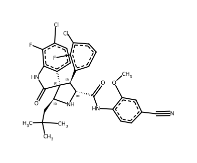 COc1cc(C#N)ccc1NC(=O)[C@@H]1N[C@@H](CC(C)(C)C)[C@@]2(C(=O)Nc3c2ccc(Cl)c3F)[C@H]1c1cccc(Cl)c1F